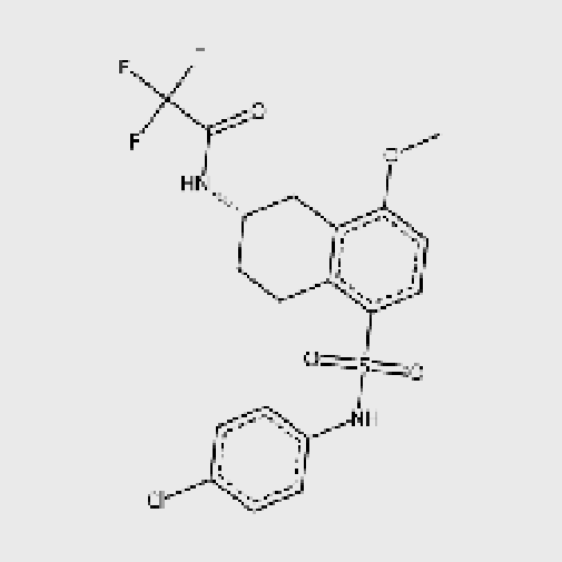 COc1ccc(S(=O)(=O)Nc2ccc(Cl)cc2)c2c1C[C@@H](NC(=O)C(F)(F)F)CC2